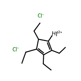 CCC1=[C]([Hf+2])C(CC)C(CC)=C1CC.[Cl-].[Cl-]